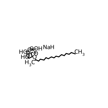 CCCCCCCCCCCCCCCCC(C)OC(CO)C(S(=O)(=O)O)S(=O)(=O)O.[NaH]